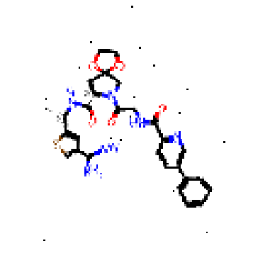 C[C@H](NC(=O)[C@@H]1CC2(CN1C(=O)CNC(=O)c1ccc(-c3ccccc3)cn1)OCCO2)c1cc(C(=N)N)cs1